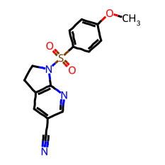 COc1ccc(S(=O)(=O)N2CCc3cc(C#N)cnc32)cc1